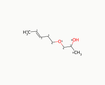 CC=CCCOCC(C)O